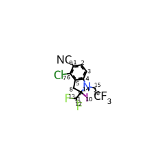 N#Cc1ccc2c(c1Cl)CC(I)(C(F)F)N2CC(F)(F)F